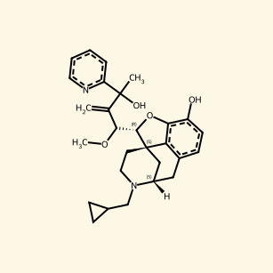 C=C(C(OC)[C@@H]1Oc2c(O)ccc3c2[C@@]12CCN(CC1CC1)[C@@H](C3)C2)C(C)(O)c1ccccn1